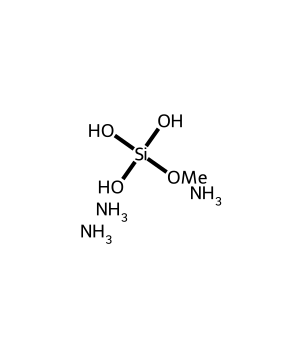 CO[Si](O)(O)O.N.N.N